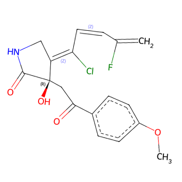 C=C(F)/C=C\C(Cl)=C1/CNC(=O)[C@@]1(O)CC(=O)c1ccc(OC)cc1